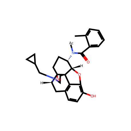 CC(=O)N(C(=O)c1ccccc1C)[C@H]1CC[C@@]2(O)[C@H]3Cc4ccc(O)c5c4[C@@]2(CCN3CC2CC2)[C@H]1O5